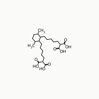 CC1CCC(C)C(CCCCCC(C(=O)O)C(=O)O)C1CCCCCC(C(=O)O)C(=O)O